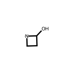 OC1CC[N]1